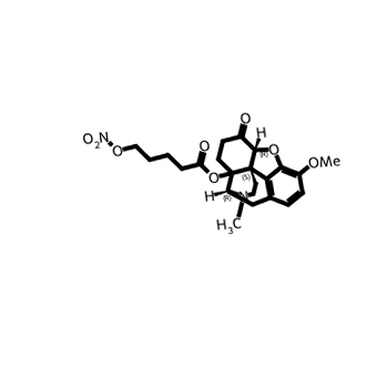 COc1ccc2c3c1O[C@H]1C(=O)CCC4(OC(=O)CCCCO[N+](=O)[O-])[C@@H](C2)N(C)CC[C@]314